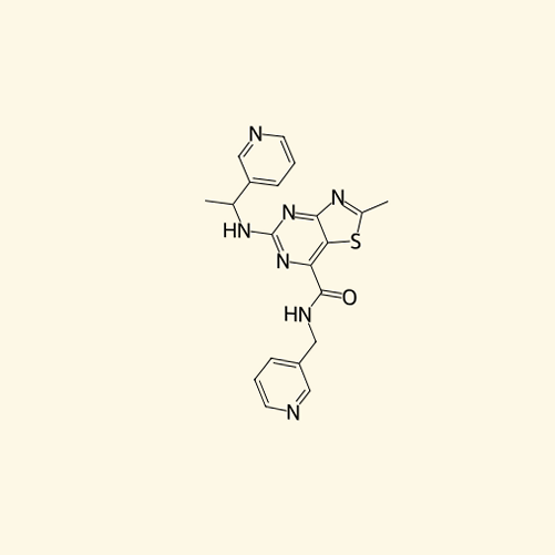 Cc1nc2nc(NC(C)c3cccnc3)nc(C(=O)NCc3cccnc3)c2s1